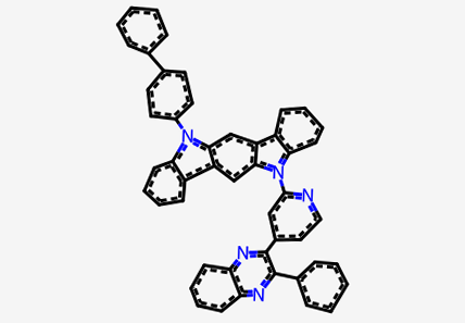 c1ccc(-c2ccc(-n3c4ccccc4c4cc5c(cc43)c3ccccc3n5-c3cc(-c4nc5ccccc5nc4-c4ccccc4)ccn3)cc2)cc1